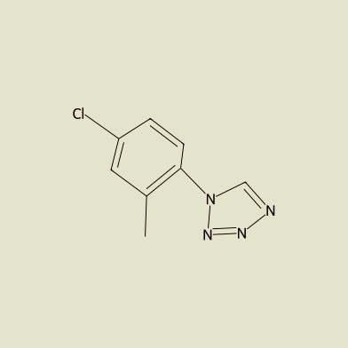 Cc1cc(Cl)ccc1-n1cnnn1